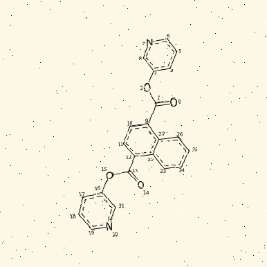 O=C(Oc1cccnc1)c1ccc(C(=O)Oc2cccnc2)c2ccccc12